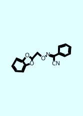 N#C/C(=N\OCC1Oc2ccccc2O1)c1ccccc1